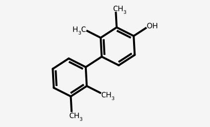 Cc1cccc(-c2ccc(O)c(C)c2C)c1C